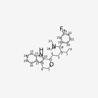 CCC(CCC1OCCc2c1[nH]c1ccccc21)C(c1cccc(F)c1)N(C)C